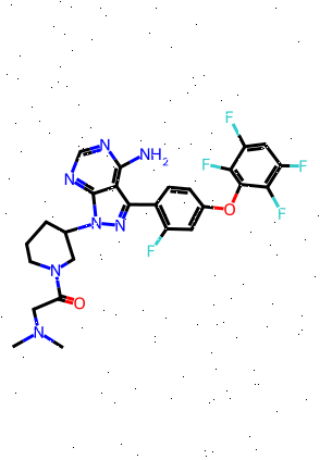 CN(C)CC(=O)N1CCCC(n2nc(-c3ccc(Oc4c(F)c(F)cc(F)c4F)cc3F)c3c(N)ncnc32)C1